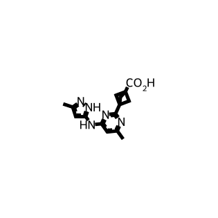 Cc1cc(Nc2cc(C)nc(C34CC(C(=O)O)(C3)C4)n2)[nH]n1